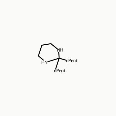 CCCCCC1(CCCCC)NCCCN1